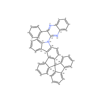 c1ccc(-c2nc3ccccc3nc2-n2c3ccccc3c3c4c(ccc32)C2(c3ccccc3-c3ccccc32)c2ccccc2-4)cc1